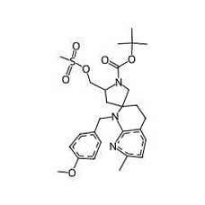 COc1ccc(CN2c3nc(C)ccc3CCC23CC(COS(C)(=O)=O)N(C(=O)OC(C)(C)C)C3)cc1